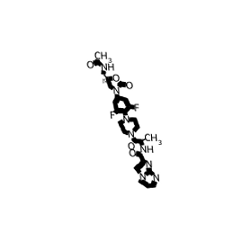 CC(=O)NC[C@H]1CN(c2cc(F)c(N3CCN(C(=O)[C@H](C)NC(=O)c4cn5cccnc5n4)CC3)c(F)c2)C(=O)O1